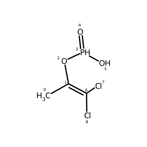 CC(O[PH](=O)O)=C(Cl)Cl